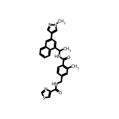 Cc1cc(CNC(=O)c2cscn2)ccc1C(=O)NC(C)c1cc(-c2cnn(C)c2)cc2ccccc12